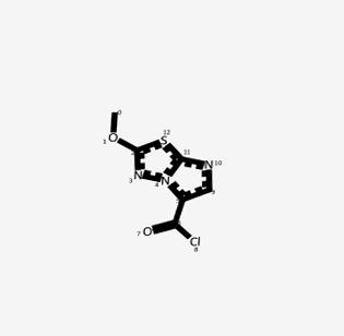 COc1nn2c(C(=O)Cl)cnc2s1